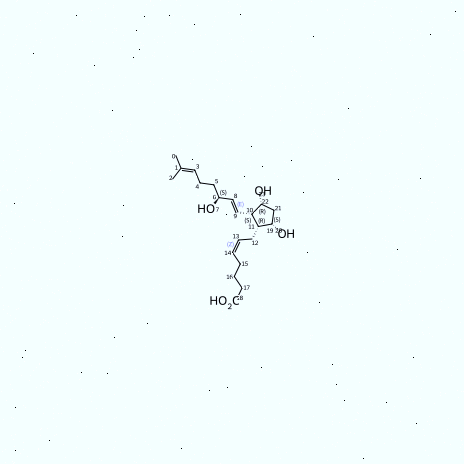 CC(C)=CCC[C@H](O)/C=C/[C@H]1[C@@H](C/C=C\CCCC(=O)O)[C@@H](O)C[C@H]1O